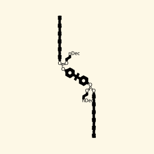 C#CC#CC#CC#CC#CC#COP(OCCCCCCCCCCCC)Oc1ccc(C(C)(C)c2ccc(OP(OC#CC#CC#CC#CC#CC#C)OCCCCCCCCCCCC)cc2)cc1